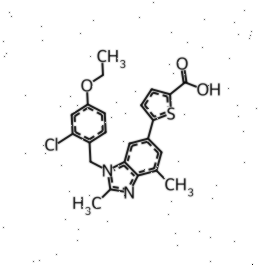 CCOc1ccc(Cn2c(C)nc3c(C)cc(-c4ccc(C(=O)O)s4)cc32)c(Cl)c1